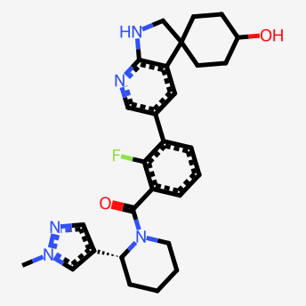 Cn1cc([C@H]2CCCCN2C(=O)c2cccc(-c3cnc4c(c3)C3(CCC(O)CC3)CN4)c2F)cn1